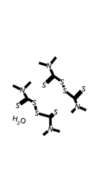 CN(C)C(=S)SSC(=S)N(C)C.CN(C)C(=S)SSC(=S)N(C)C.O